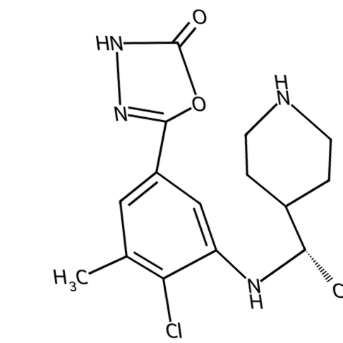 Cc1cc(-c2n[nH]c(=O)o2)cc(N[C@@H](C)C2CCNCC2)c1Cl